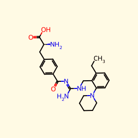 CCc1cccc(N2CCCCC2)c1CN/C(N)=N/C(=O)c1ccc(C[C@H](N)C(=O)O)cc1